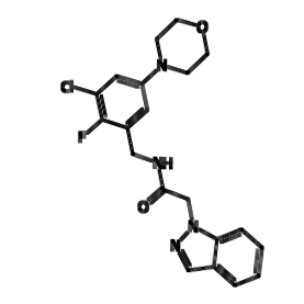 O=C(Cn1ncc2ccccc21)NCc1cc(N2CCOCC2)cc(Cl)c1F